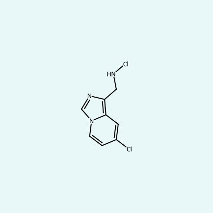 ClNCc1ncn2ccc(Cl)cc12